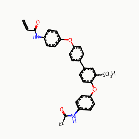 C=CC(=O)Nc1ccc(Oc2ccc(-c3ccc(Oc4ccc(NC(=O)CC)cc4)c(S(=O)(=O)O)c3)cc2)cc1